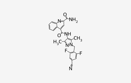 Cc1nn(Cc2c(F)cc(C#N)cc2F)c(C)c1NC(=O)c1cc(C(N)=O)nc2ccccc12